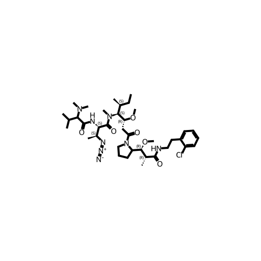 CC[C@H](C)[C@@H]([C@@H](CC(=O)N1CCCC1[C@H](OC)[C@@H](C)C(=O)NCCc1ccccc1Cl)OC)N(C)C(=O)[C@@H](NC(=O)C(C(C)C)N(C)C)[C@H](C)N=[N+]=[N-]